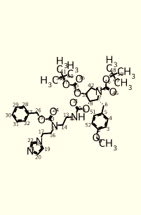 COc1ccc(C[C@@H]2[C@H](OC(=O)NCCN(CCn3ccnc3)C(=O)OCc3ccccc3)[C@@H](OC(=O)OC(C)(C)C)CN2C(=O)OC(C)(C)C)cc1